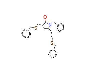 O=C1C(CSCc2ccccc2)CC(CCCSCc2ccccc2)N1Cc1ccccc1